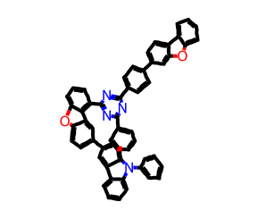 c1ccc(-c2nc(-c3ccc(-c4ccc5c(c4)oc4ccccc45)cc3)nc(-c3cccc4oc5ccc(-c6ccc7c(c6)c6ccccc6n7-c6ccccc6)cc5c34)n2)cc1